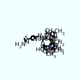 CCC(=O)/N=C1\[C@H](C)C[C@@]2(C)OC/C(=N/OCc3ccc(-c4nc(N)cs4)cn3)CO[C@H]([C@H]1C)[C@](C)(O)[C@@H](CC)OC(=O)[C@@](C)(F)C(=O)[C@H](C)[C@H]2O[C@@H]1O[C@H](C)C[C@H](N(C)C)[C@H]1O